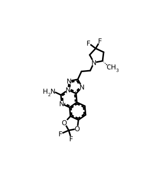 C[C@H]1CC(F)(F)CN1CCc1nc2c3ccc4c(c3nc(N)n2n1)OC(F)(F)O4